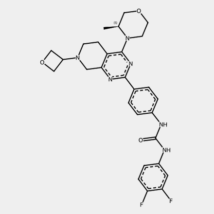 C[C@H]1COCCN1c1nc(-c2ccc(NC(=O)Nc3ccc(F)c(F)c3)cc2)nc2c1CCN(C1COC1)C2